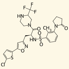 Cc1c(N2CCCC2=O)cccc1S(=O)(=O)N[C@@H](Cc1cc(-c2ccc(Cl)s2)on1)C(=O)N1CCNC(C(F)(F)F)C1